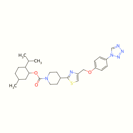 CC1CCC(C(C)C)C(OC(=O)N2CCC(c3nc(COc4ccc(-n5cnnn5)cc4)cs3)CC2)C1